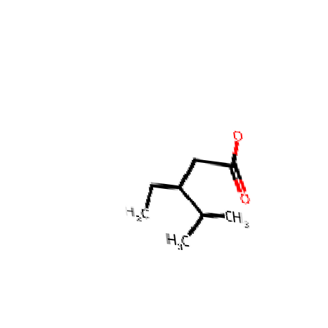 CCC(CC([O])=O)C(C)C